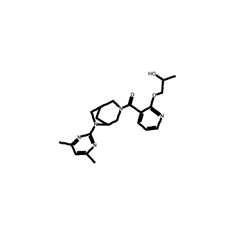 Cc1cc(C)nc(N2CC3CC2CN(C(=O)c2cccnc2OCC(C)O)C3)n1